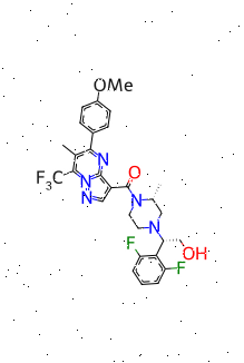 COc1ccc(-c2nc3c(C(=O)N4CCN([C@H](CO)c5c(F)cccc5F)C[C@H]4C)cnn3c(C(F)(F)F)c2C)cc1